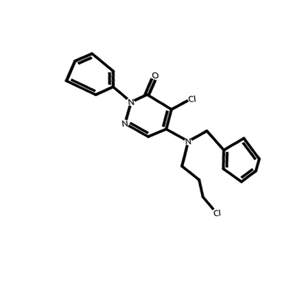 O=c1c(Cl)c(N(CCCCl)Cc2ccccc2)cnn1-c1ccccc1